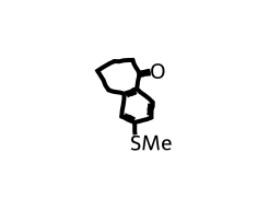 CSc1ccc2c(c1)CCCCC2=O